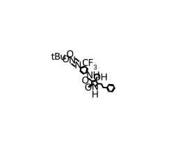 CC(C)(C)OC(=O)N1CCN(c2ccc(NC(=O)C3=C(O)C(CCc4ccccc4)NC3=O)cc2C(F)(F)F)CC1